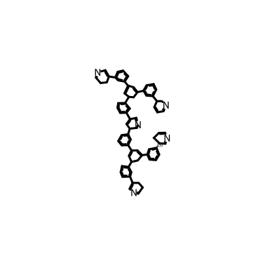 C1=CC(c2cccc(C3=CC(c4cccc(C5=CN=CCC5)c4)=CC(c4cccc(C5=CC(c6cccc(C7=CC(c8cccc(C9=CN=CCC9)c8)CC(c8cccc([C@H]9C=NC=CC9)c8)=C7)c6)CN=C5)c4)C3)c2)CN=C1